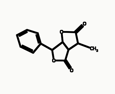 CC1C(=O)OC2C(c3ccccc3)OC(=O)C12